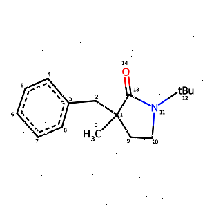 CC1(Cc2ccccc2)CCN(C(C)(C)C)C1=O